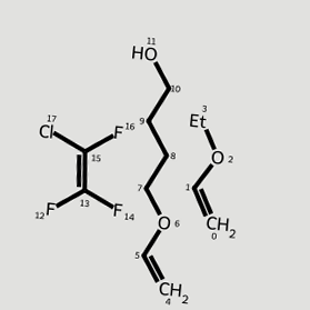 C=COCC.C=COCCCCO.FC(F)=C(F)Cl